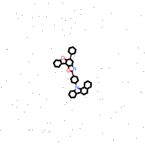 c1ccc(-c2cc3nc(-c4ccc(-n5c6ccccc6c6ccc7ccccc7c65)cc4)oc3c3c2oc2ccccc23)cc1